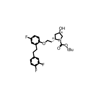 CC(C)(C)OC(=O)N1C[C@H](O)C[C@H]1CCOc1ccc(F)cc1CCc1ccc(F)c(F)c1